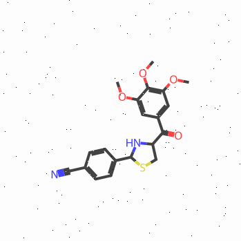 COc1cc(C(=O)C2CSC(c3ccc(C#N)cc3)N2)cc(OC)c1OC